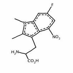 Cc1c(CC(N)C(=O)O)c2c([N+](=O)[O-])cc(F)cc2n1C